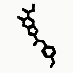 COC(=O)c1cc2sc(N(C)Cc3ccc(OC)cc3)cc2oc1=O